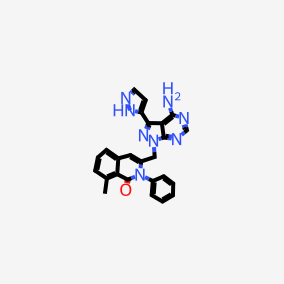 Cc1cccc2cc(Cn3nc(-c4ccn[nH]4)c4c(N)ncnc43)n(-c3ccccc3)c(=O)c12